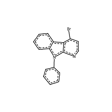 Brc1ccnc2c1c1ccccc1n2-c1ccccc1